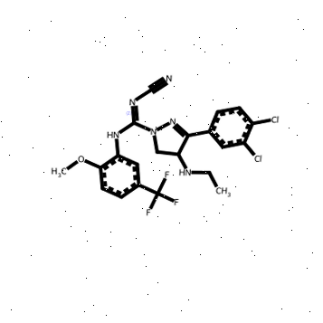 CCNC1CN(/C(=N\C#N)Nc2cc(C(F)(F)F)ccc2OC)N=C1c1ccc(Cl)c(Cl)c1